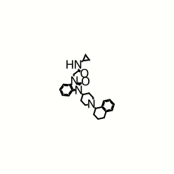 O=C(Cn1c(=O)n(C2CCN(C3CCCc4ccccc43)CC2)c2ccccc21)NC1CC1